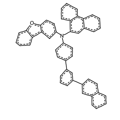 c1cc(-c2ccc(N(c3ccc4oc5ccccc5c4c3)c3cc4ccccc4c4ccccc34)cc2)cc(-c2ccc3ccccc3c2)c1